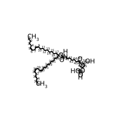 CCCCC/C=C\C/C=C\CCCCCCCCC(CCCCCCCC/C=C\C/C=C\CCCCC)OC(=O)NCCCCCC(=O)N1C[C@H](O[PH](=O)O)C[C@H]1CO